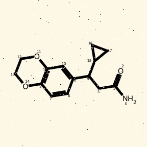 NC(=O)CC(c1ccc2c(c1)OCCO2)C1CC1